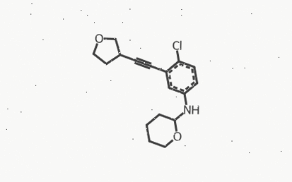 Clc1ccc(NC2CCCCO2)cc1C#CC1CCOC1